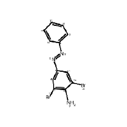 Nc1c(Br)cc(N=Nc2ccccc2)cc1Br